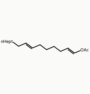 CCCCCCCC/C=C/CCCC/C=C/OC(C)=O